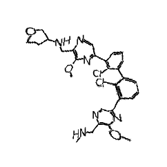 CNCc1ncc(-c2cccc(-c3cccc(-c4cnc(CNC5CCOC5)c(OC)n4)c3Cl)c2Cl)nc1OC